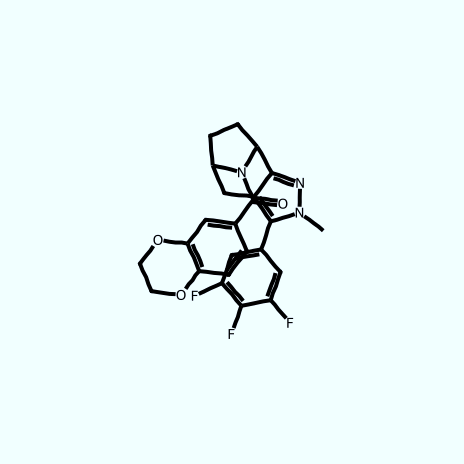 Cn1nc2c(c1-c1cc(F)c(F)c(F)c1)CC1CCC2N1C(=O)c1ccc2c(c1)OCCO2